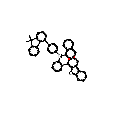 CC1(C)c2ccccc2-c2c(-c3ccc(N(c4ccccc4-c4cccc5c4oc4ccccc45)c4cccc5ccccc45)cc3)cccc21